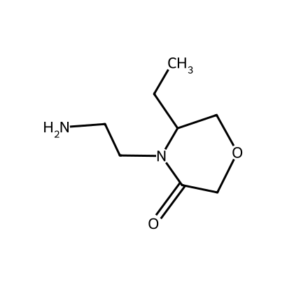 CCC1COCC(=O)N1CCN